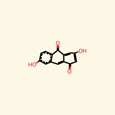 O=C1C=C(O)C=C2C(=O)c3ccc(O)cc3C=C12